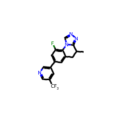 CC1Cc2cc(-c3cncc(C(F)(F)F)c3)cc(F)c2-n2cnnc21